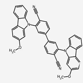 COc1ccc2c3ccccc3n(-c3cc(-c4ccc(C#N)c(-n5c6ccccc6c6ccc(OC)cc65)c4)ccc3C#N)c2c1